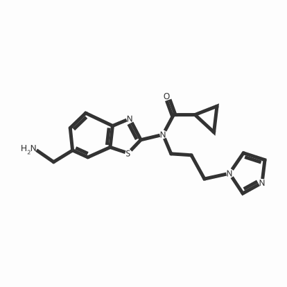 NCc1ccc2nc(N(CCCn3ccnc3)C(=O)C3CC3)sc2c1